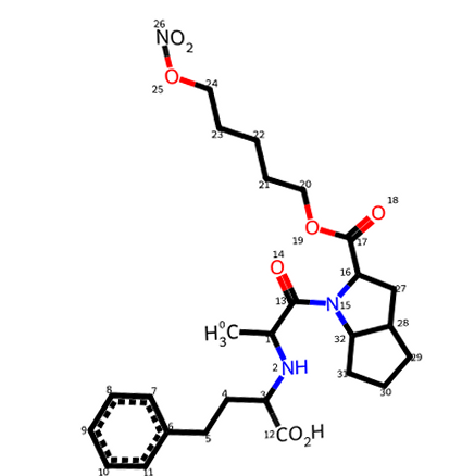 CC(NC(CCc1ccccc1)C(=O)O)C(=O)N1C(C(=O)OCCCCCO[N+](=O)[O-])CC2CCCC21